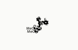 COC(=O)N(C(=O)OC)c1nc(-c2cc(-c3ccon3)n(Cc3ccccc3F)n2)ncc1F